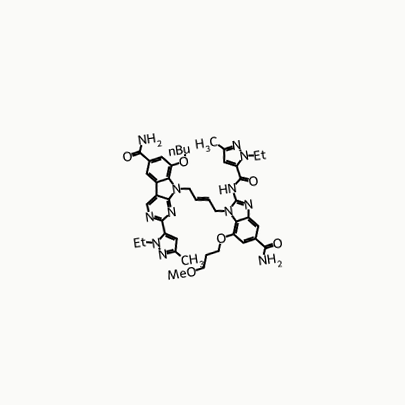 CCCCOc1cc(C(N)=O)cc2c3cnc(-c4cc(C)nn4CC)nc3n(C/C=C/Cn3c(NC(=O)c4cc(C)nn4CC)nc4cc(C(N)=O)cc(OCCCOC)c43)c12